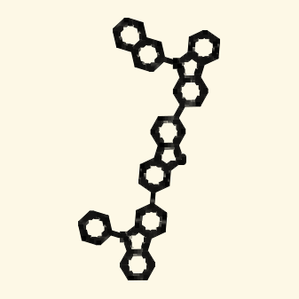 c1ccc(-n2c3ccccc3c3ccc(-c4ccc5c(c4)oc4cc(-c6ccc7c8ccccc8n(-c8ccc9ccccc9c8)c7c6)ccc45)cc32)cc1